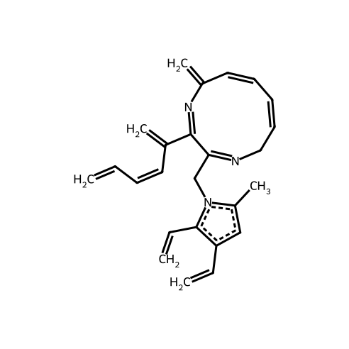 C=C/C=C\C(=C)C1=N/C(=C)/C=C\C=C/C/N=C\1Cn1c(C)cc(C=C)c1C=C